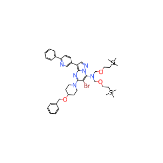 C[Si](C)(C)CCOCN(COCC[Si](C)(C)C)c1c(Br)c(N2CCC(OCc3ccccc3)CC2)nc2c(-c3ccc(-c4ccccc4)nc3)cnn12